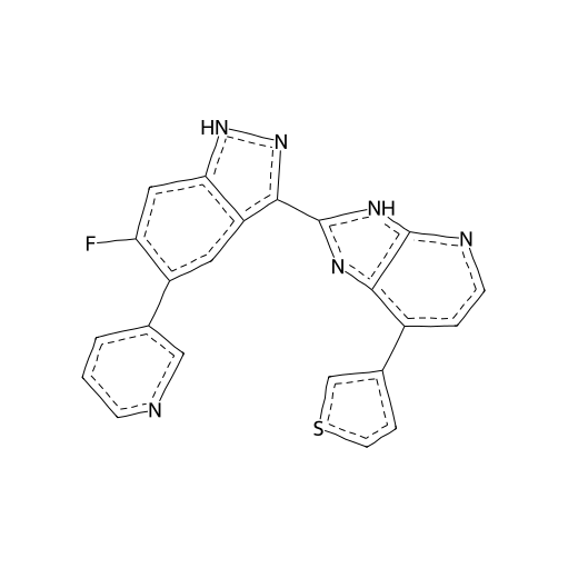 Fc1cc2[nH]nc(-c3nc4c(-c5ccsc5)ccnc4[nH]3)c2cc1-c1cccnc1